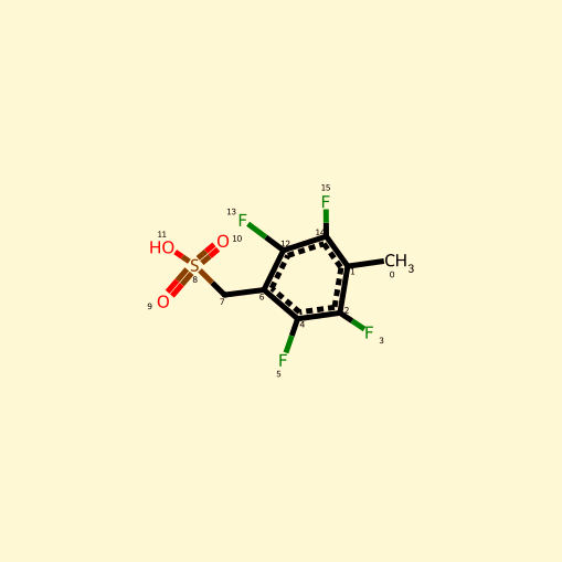 Cc1c(F)c(F)c(CS(=O)(=O)O)c(F)c1F